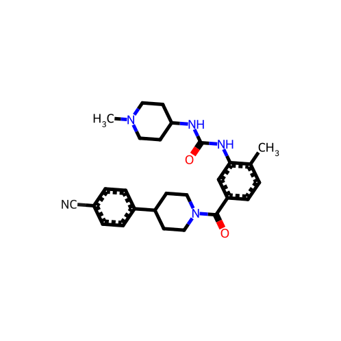 Cc1ccc(C(=O)N2CCC(c3ccc(C#N)cc3)CC2)cc1NC(=O)NC1CCN(C)CC1